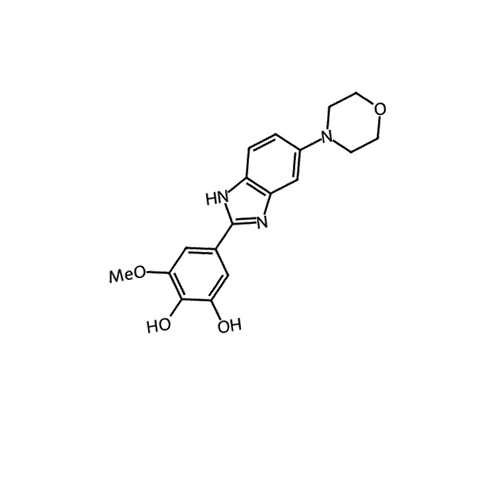 COc1cc(-c2nc3cc(N4CCOCC4)ccc3[nH]2)cc(O)c1O